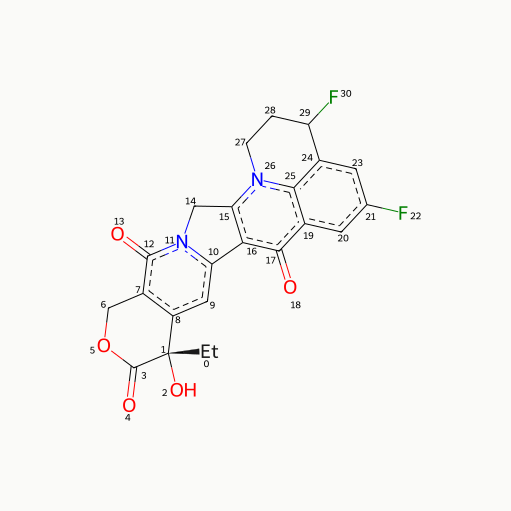 CC[C@@]1(O)C(=O)OCc2c1cc1n(c2=O)Cc2c-1c(=O)c1cc(F)cc3c1n2CCC3F